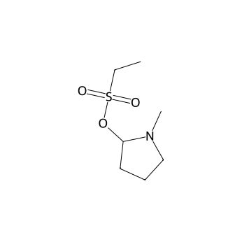 CCS(=O)(=O)OC1CCCN1C